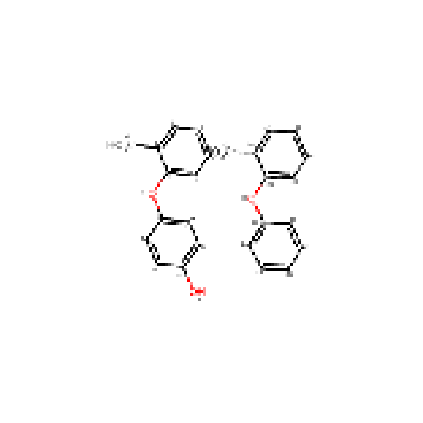 O=C(O)c1ccccc1Oc1ccc(O)cc1.O=C(O)c1ccccc1Oc1ccccc1